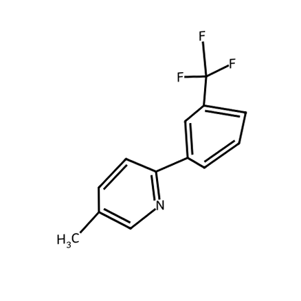 Cc1ccc(-c2cccc(C(F)(F)F)c2)nc1